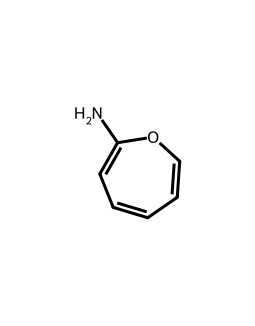 NC1=CC=CC=CO1